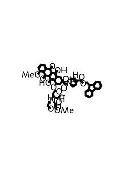 COc1cccc2c1C(=O)c1c(O)c3c(c(O)c1C2=O)C[C@@](O)(C(=O)N1C[C@@H]2CCC1CN2C(=O)OCC1c2ccccc2-c2ccccc21)C[C@@H]3O[C@H]1C[C@H]2[C@H](O[C@@H]3[C@@H](OC)OCCN32)[C@H](C)O1